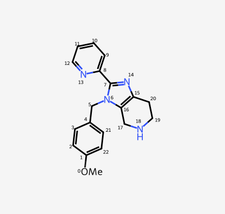 COc1ccc(Cn2c(-c3ccccn3)nc3c2CNCC3)cc1